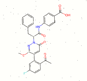 COc1nn(C(Cc2ccccc2)C(=O)Nc2ccc(C(=O)O)cc2)c(=O)cc1-c1cc(F)ccc1C(C)=O